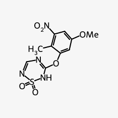 COc1cc(OC2=NC=NS(=O)(=O)N2)c(C)c([N+](=O)[O-])c1